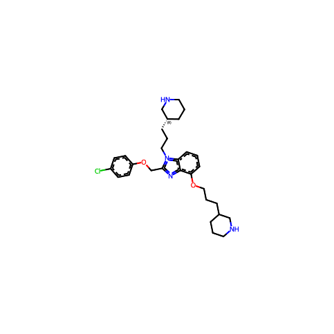 Clc1ccc(OCc2nc3c(OCCCC4CCCNC4)cccc3n2CCC[C@H]2CCCNC2)cc1